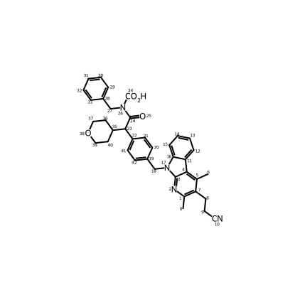 Cc1nc2c(c(C)c1CCC#N)c1ccccc1n2Cc1ccc(C(C(=O)N(Cc2ccccc2)C(=O)O)C2CCOCC2)cc1